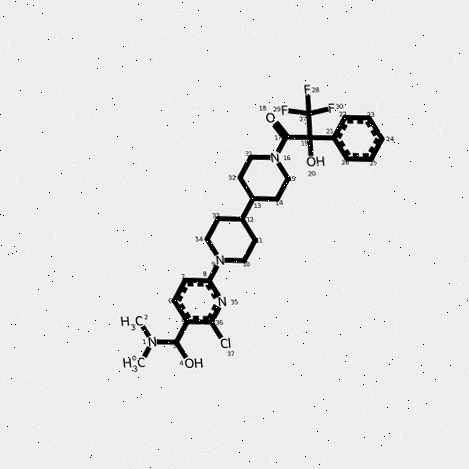 CN(C)C(O)c1ccc(N2CCC(C3CCN(C(=O)C(O)(c4ccccc4)C(F)(F)F)CC3)CC2)nc1Cl